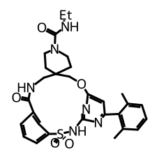 CCNC(=O)N1CCC2(CC1)CNC(=O)c1cccc(c1)S(=O)(=O)Nc1nc(cc(-c3c(C)cccc3C)n1)OC2